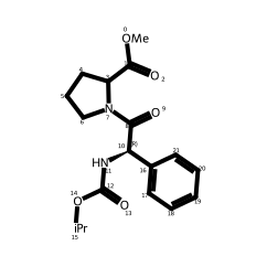 COC(=O)C1CCCN1C(=O)[C@H](NC(=O)OC(C)C)c1ccccc1